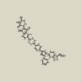 Cc1c(N2CCN(c3ccc(-n4cc(-c5ccc6c(c5)CCC6=NO)c(-c5ccncc5)n4)cc3)CC2)ccc2c1C(=O)N(C1CCC(=O)NC1=O)C2=O